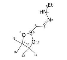 CCN/N=C\CB1OC(C)(C)C(C)(C)O1